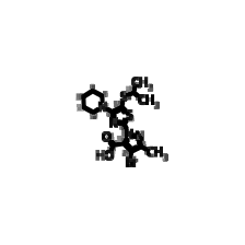 Cc1nn(-c2nc(N3CCCCC3)c(SC(C)C)s2)c(C(=O)O)c1Br